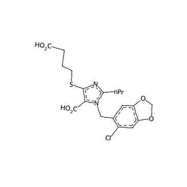 CCCc1nc(SCCCC(=O)O)c(C(=O)O)n1Cc1cc2c(cc1Cl)OCO2